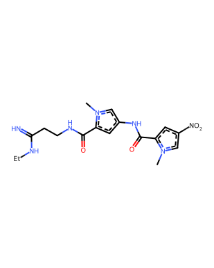 CCNC(=N)CCNC(=O)c1cc(NC(=O)c2cc([N+](=O)[O-])cn2C)cn1C